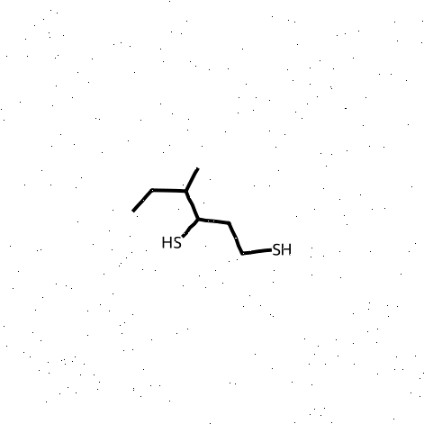 CCC(C)C(S)CCS